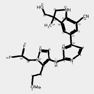 COCCc1c(Nc2nccc(-c3cc(C#N)c4c(c3)C(C)(CO)CN4)n2)cnn1CC(F)F